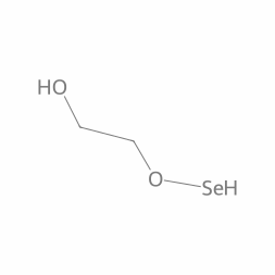 OCCO[SeH]